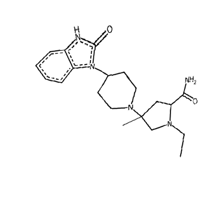 CCN1CC(C)(N2CCC(n3c(=O)[nH]c4ccccc43)CC2)CC1C(N)=O